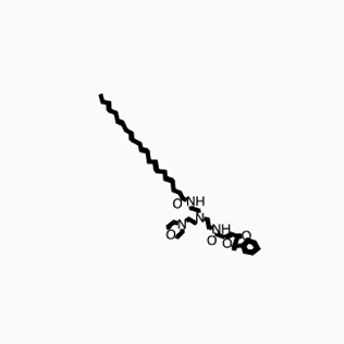 CCC=CCC=CCC=CCC=CCC=CCC=CCCC(=O)NCCN(CCNC(=O)C1=CC(=O)C(C)(c2ccccc2)O1)CCN1CCOCC1